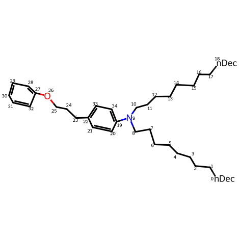 CCCCCCCCCCCCCCCCCCN(CCCCCCCCCCCCCCCCCC)c1ccc([CH]CCOc2ccccc2)cc1